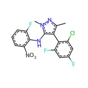 Cc1nn(C)c(Nc2c(F)cccc2[N+](=O)[O-])c1-c1c(F)cc(F)cc1Cl